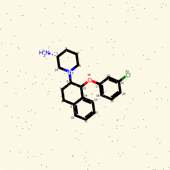 N[C@@H]1CCCN(C2CCc3ccccc3C2Oc2cccc(Cl)c2)C1